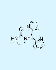 O=C1NCCN1[C](c1ncco1)c1ncco1